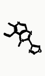 C=Cc1c(C)ncc2nc(-c3cocn3)n(C)c12